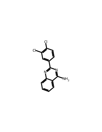 Nc1nc(-c2ccc(Cl)c(Cl)c2)nc2ccccc12